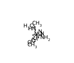 COc1ccc(I)c(Sc2nc3c(N)ncnc3n2CCNCC(C)C)c1